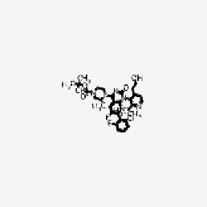 CC(C)c1nccc(CCO)c1-n1c(=O)nc(N2CCN(C(=O)OC(C)(C)C)C[C@@H]2C)c2cc(F)c(-c3c(F)cccc3Cl)nc21